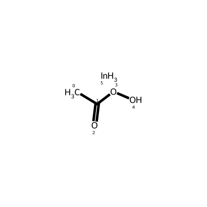 CC(=O)OO.[InH3]